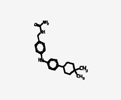 CC1(C)CCC(c2ccc(Nc3ccc(CNC(N)=O)cc3)cc2)CC1